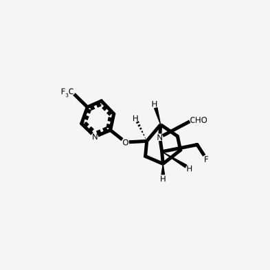 O=CN1[C@H](CF)[C@@H]2CC[C@H]1[C@H](Oc1ccc(C(F)(F)F)cn1)C2